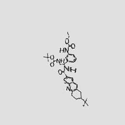 CCOC(=O)Nc1cccc(C(CNC(=O)OC(C)(C)C)NC(=O)c2cc3cc4c(nc3s2)CCC(C(C)(C)C)C4)c1